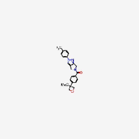 COC1(c2ccc(C(=O)N3Cc4cn(-c5ccc(C(F)(F)F)cc5)nc4C3)cc2)COC1